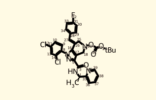 C[C@@H](NC(=O)c1nn(-c2ccc(Cl)cc2Cl)c2c1CN(OC(=O)OC(C)(C)C)C/C2=C\c1ccc(F)cc1)c1ccccn1